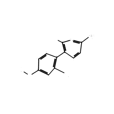 Cc1nc(N)ccc1-c1ccc(OC(C)(C)C)cc1Cl